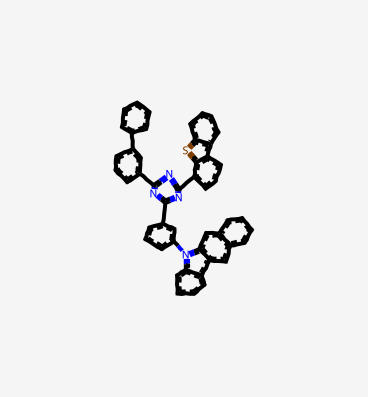 c1ccc(-c2cccc(-c3nc(-c4cccc(-n5c6ccccc6c6cc7ccccc7cc65)c4)nc(-c4cccc5c4sc4ccccc45)n3)c2)cc1